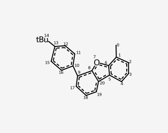 Cc1cccc2c1oc1c(-c3ccc(C(C)(C)C)cc3)cccc12